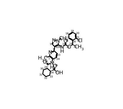 Cc1nc(-c2cnn(C)c2NC(=O)O[C@H](C)c2ccccc2Cl)ccc1NC(=O)[C@H]1CCCC[C@@H]1C(=O)O